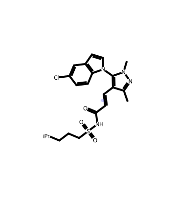 Cc1nn(C)c(-n2ccc3cc(Cl)ccc32)c1/C=C/C(=O)NS(=O)(=O)CCCC(C)C